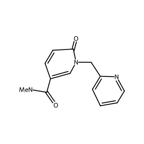 CNC(=O)c1ccc(=O)n(Cc2ccccn2)c1